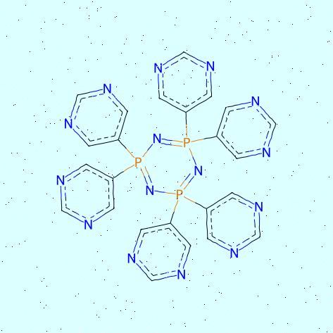 c1ncc(P2(c3cncnc3)=NP(c3cncnc3)(c3cncnc3)=NP(c3cncnc3)(c3cncnc3)=N2)cn1